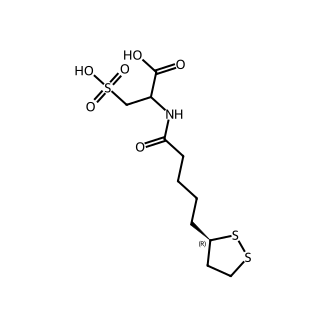 O=C(CCCC[C@@H]1CCSS1)NC(CS(=O)(=O)O)C(=O)O